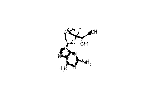 C#C[C@H](O)[C@@](F)(CO)O[C@H](CO)n1cnc2c(N)nc(N)nc21